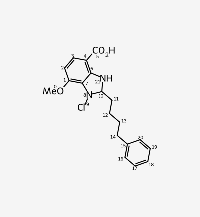 COc1ccc(C(=O)O)c2c1N(Cl)C(CCCCc1ccccc1)N2